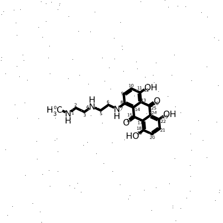 CNCCNCCNc1ccc(O)c2c1C(=O)c1c(O)ccc(O)c1C2=O